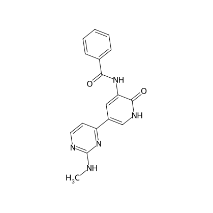 CNc1nccc(-c2c[nH]c(=O)c(NC(=O)c3ccccc3)c2)n1